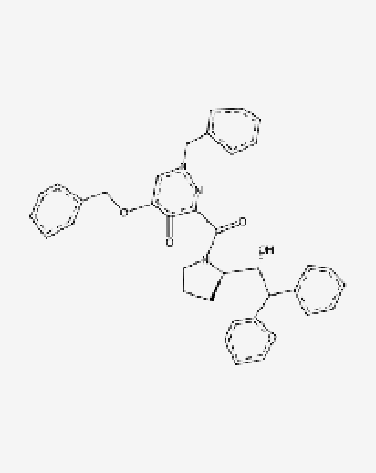 O=C(c1nn(Cc2ccccc2)cc(OCc2ccccc2)c1=O)N1CCC[C@@H]1[C@H](O)C(c1ccccc1)c1ccccc1